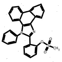 CS(=O)(=O)Oc1ccccc1-c1nc2c3ccccc3c3ccccc3c2n1-c1ccccc1